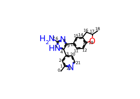 Cc1cc(-c2[nH]c(N)nc2-c2ccc3c(c2)CC(C)O3)ccn1